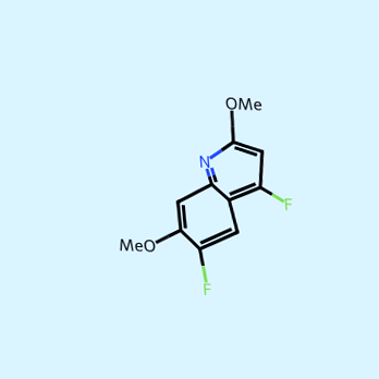 COc1cc(F)c2cc(F)c(OC)cc2n1